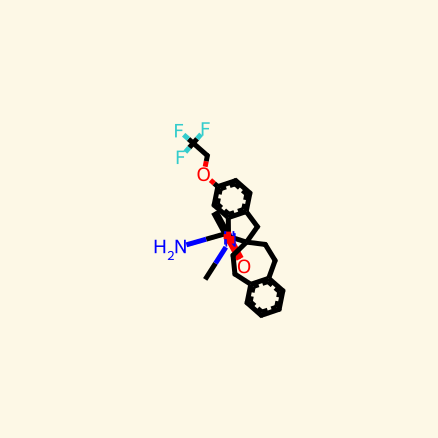 CN1C(=O)C2(N=C1N)c1cc(OCC(F)(F)F)ccc1CC21CCc2ccccc2CC1